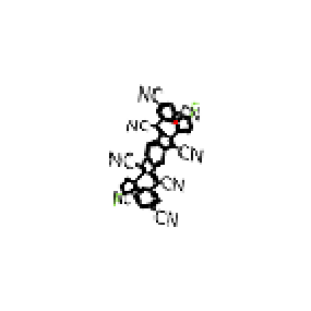 N#CC1=C(c2ccc(F)cc2)/C(=C(/C#N)c2cc(C#N)cc(C#N)c2)c2cc3c(cc21)/C(=C(\C#N)c1cc(C#N)cc(C#N)c1)C(c1ccc(F)cc1)=C3C#N